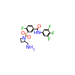 NCC1CCN1S(=O)(=O)c1cc(C(=O)Nc2cc(F)c(F)c(F)c2)ccc1F